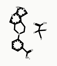 NC(=O)c1cccc(N2CCc3c(cnc4[nH]ncc34)C2)c1.O=C(O)C(F)(F)F